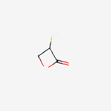 O=C1OCC1S